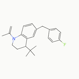 C=C(C)N1CCC(C(C)(C)C)c2cc(Cc3ccc(F)cc3)ccc21